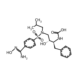 CC(C)CN(C[C@@H](O)[C@H](Cc1ccccc1)NC(=O)O)S(=O)(=O)c1ccc(/C(N)=N/O)cc1